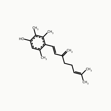 C=C(C=Cc1c(C)cc(O)c(C)c1C)CCC=C(C)C